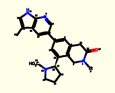 CCN1Cc2c(cc(-c3cnc4[nH]cc(C)c4c3)cc2[C@@H]2CCCN2C(=O)O)CC1=O